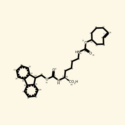 O=C(N[C@@H](CCCCNC(=O)OC1CC/C=C/CCC1)C(=O)O)OCC1c2ccccc2-c2ccccc21